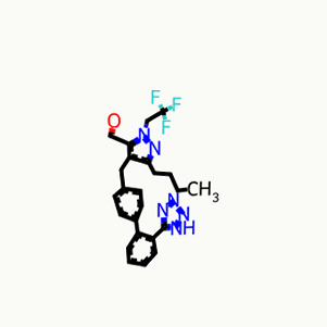 CCCCc1nn(CC(F)(F)F)c(C=O)c1Cc1ccc(-c2ccccc2-c2nnn[nH]2)cc1